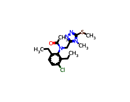 CCc1ccc(Cl)c(CC)c1N(Cc1nnc(SC)n1C)C(C)=O